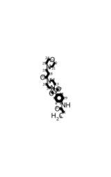 C=CC(=O)Nc1ccc(S(=O)(=O)N2CCN(C(=O)CCN3CCOCC3)CC2)cc1